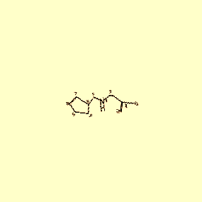 CC(C)CNCC1CCCC1